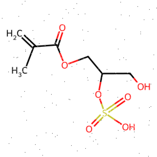 C=C(C)C(=O)OCC(CO)OS(=O)(=O)O